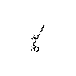 [CH2]CCCCCCCC(CC[C]1O[C@H]2CCCCC12)[N+](=O)[O-]